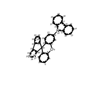 c1ccc2c(c1)Oc1cc(-n3c4ccccc4c4ccccc43)ccc1C21c2ccccc2-c2cncnc21